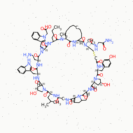 CCCCC1NC(=O)[C@H](Cc2cn(CC(=O)O)c3ccccc23)NC(=O)[C@H](CCN)NC(=O)[C@H](Cc2c[nH]c3ccccc23)NC(=O)[C@@H]2C[C@@H](O)CN2C(=O)[C@H](CC(C)C)NC(=O)CNC(=O)[C@H]2CCC3CC[C@@H](NC(=O)[C@@H]4C[C@H](O)CN4C(=O)[C@H](Cc4ccc(O)cc4)NC(=O)CSC[C@@H](C(=O)NCC(N)=O)N(C)C(=O)[C@@H]4CCCCCCCCC(C(=O)N4)N(C)C1=O)C(=O)N32